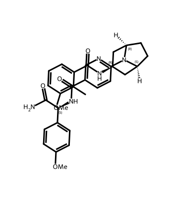 COc1ccc([C@H](NC(=O)c2ccc(N3[C@@H]4CC[C@H]3C[C@@H](NC(=O)c3cccc(OC)c3C)C4)nc2)C(N)=O)cc1